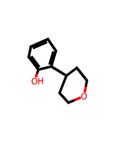 Oc1ccccc1C1CCOCC1